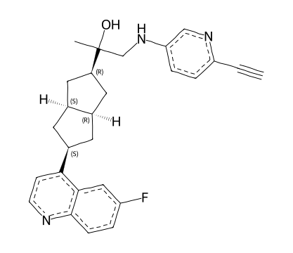 C#Cc1ccc(NCC(C)(O)[C@H]2C[C@H]3C[C@@H](c4ccnc5ccc(F)cc45)C[C@H]3C2)cn1